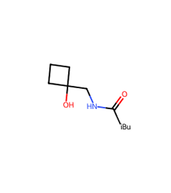 CCC(C)C(=O)NCC1(O)CCC1